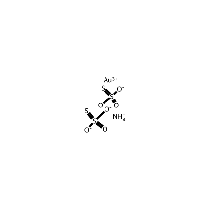 O=S([O-])([O-])=S.O=S([O-])([O-])=S.[Au+3].[NH4+]